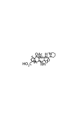 CCCN(C(=O)[C@@H](NC(=O)[C@H]1CCCCN1C)[C@@H](C)CC)[C@H](C[C@@H](OC(C)=O)c1nc(C(=O)O)cs1)C(C)C